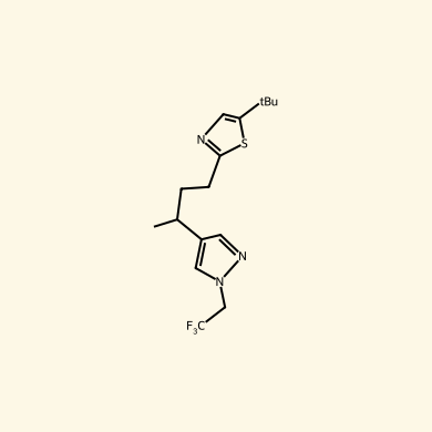 CC(CCc1ncc(C(C)(C)C)s1)c1cnn(CC(F)(F)F)c1